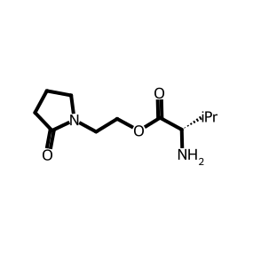 CC(C)[C@H](N)C(=O)OCCN1CCCC1=O